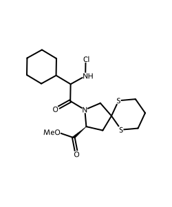 COC(=O)[C@@H]1CC2(CN1C(=O)C(NCl)C1CCCCC1)SCCCS2